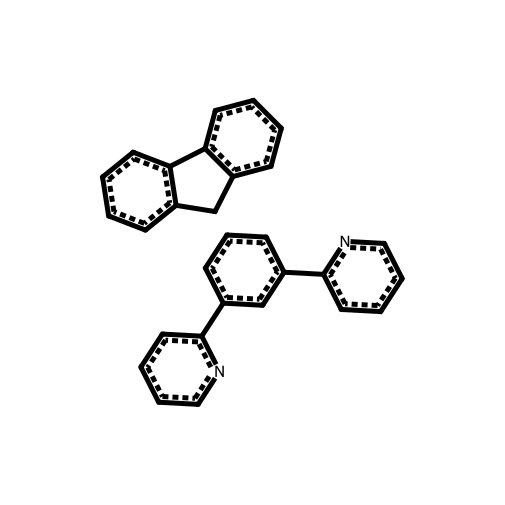 c1ccc(-c2cccc(-c3ccccn3)c2)nc1.c1ccc2c(c1)Cc1ccccc1-2